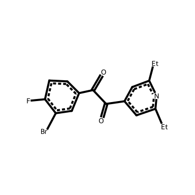 CCc1cc(C(=O)C(=O)c2ccc(F)c(Br)c2)cc(CC)n1